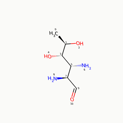 C[C@@H](O)[C@@H](O)[C@H](N)[C@H](N)C=O